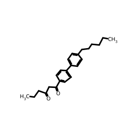 CCCCCCc1ccc(-c2ccc(C(=O)CC(=O)CCC)cc2)cc1